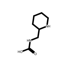 O=C(O)NCC1CCCCN1